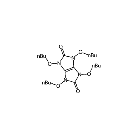 CCCCOn1c(=O)n(OCCCC)c2c1n(OCCCC)c(=O)n2OCCCC